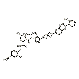 C#Cc1ccc(CNC(=O)[C@@H]2C[C@@H](O)CN2C(=O)[C@H](C(C)C)n2cc(N3CC4(CN(c5ccc6cc(-c7ccccc7O)nnc6c5)C4)C3)nn2)c(Cl)c1